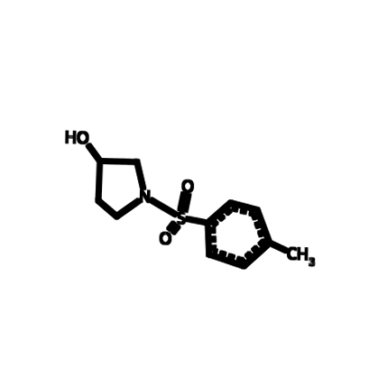 Cc1ccc(S(=O)(=O)N2CCC(O)C2)cc1